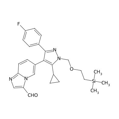 C[Si](C)(C)CCOCn1nc(-c2ccc(F)cc2)c(-c2ccc3ncc(C=O)n3c2)c1C1CC1